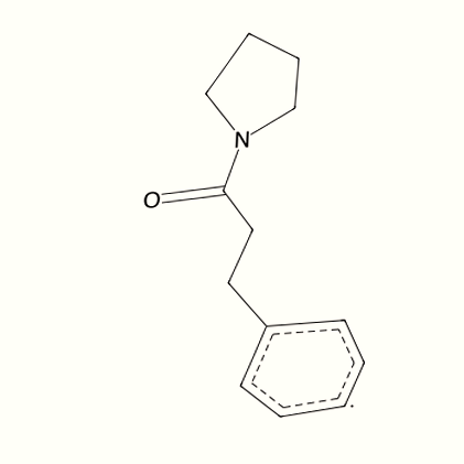 O=C(CCc1cc[c]cc1)N1CCCC1